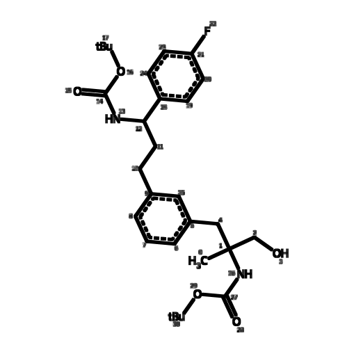 CC(CO)(Cc1cccc(CCC(NC(=O)OC(C)(C)C)c2ccc(F)cc2)c1)NC(=O)OC(C)(C)C